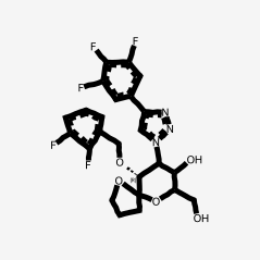 OCC1OC2(CCCO2)[C@H](OCc2cccc(F)c2F)C(n2cc(-c3cc(F)c(F)c(F)c3)nn2)C1O